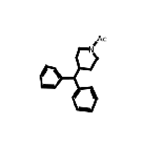 CC(=O)N1CCC(C(c2ccccc2)c2ccccc2)CC1